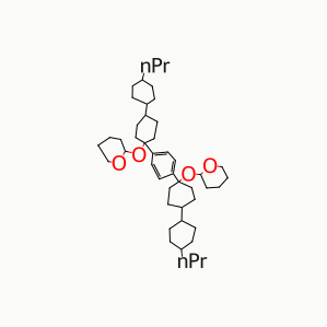 CCCC1CCC(C2CCC(OC3CCCCO3)(c3ccc(C4(OC5CCCCO5)CCC(C5CCC(CCC)CC5)CC4)cc3)CC2)CC1